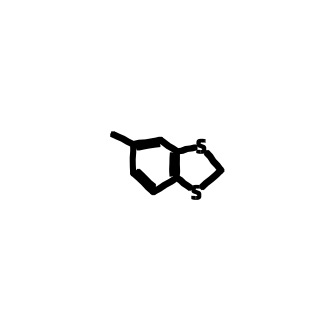 Cc1ccc2c(c1)SCS2